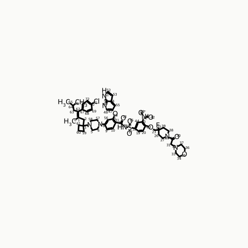 C/C(CC1(N2CCN(c3ccc(C(=O)NS(=O)(=O)c4ccc(OCC5(F)CCN(C(=O)CN6CCOCC6)CC5)c([N+](=O)[O-])c4)c(Oc4cnc5[nH]ccc5c4)c3)CC2)CCC1)=C(\CC(C)C)c1ccc(Cl)cc1